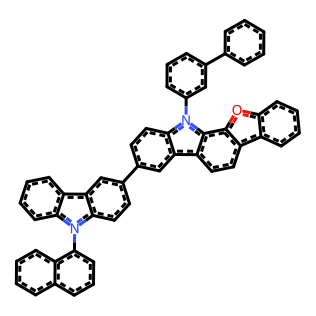 c1ccc(-c2cccc(-n3c4ccc(-c5ccc6c(c5)c5ccccc5n6-c5cccc6ccccc56)cc4c4ccc5c6ccccc6oc5c43)c2)cc1